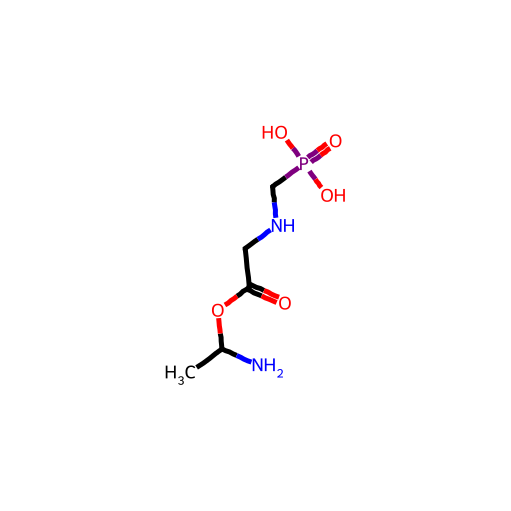 CC(N)OC(=O)CNCP(=O)(O)O